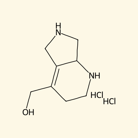 Cl.Cl.OCC1=C2CNCC2NCC1